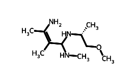 CNC(N[C@H](C)COC)/C(C)=C(/C)N